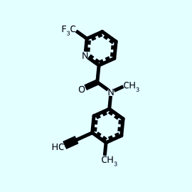 C#Cc1cc(N(C)C(=O)c2cccc(C(F)(F)F)n2)ccc1C